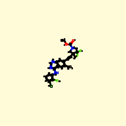 CC(C)(C)OC(=O)N1CC(F)(F)C(C)(C#Cc2cc3ncnc(Nc4cccc(Cl)c4F)c3cc2[N+](=O)[O-])C1